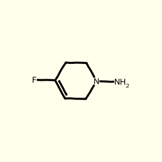 NN1CC=C(F)CC1